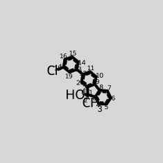 OC1(C(F)(F)F)c2ccccc2-c2ccc(-c3cccc(Cl)c3)cc21